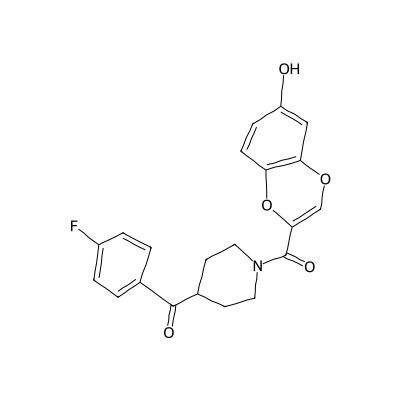 O=C(c1ccc(F)cc1)C1CCN(C(=O)C2=COc3cc(O)ccc3O2)CC1